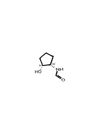 O=CN[C@H]1CCC[C@H]1O